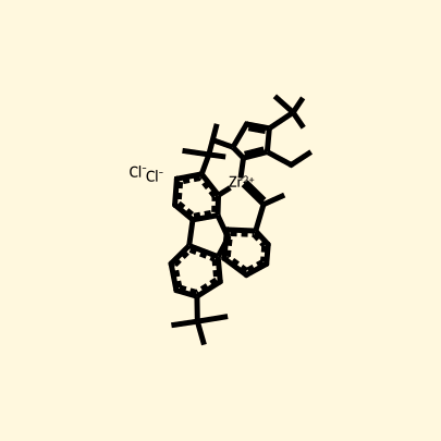 CCC1=[C](/[Zr+2](=[C](\C)c2ccccc2)[c]2c(C(C)(C)C)ccc3c2Cc2cc(C(C)(C)C)ccc2-3)C(C)C=C1C(C)(C)C.[Cl-].[Cl-]